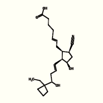 CCC1(C(O)CC=C[C@H]2[C@@H](CC=CCCCC(=O)O)[C@@H](C#N)C[C@H]2O)CCC1